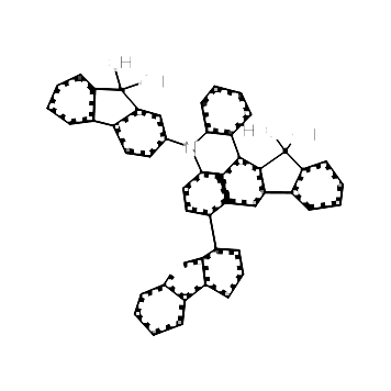 CC1(C)c2ccccc2-c2ccc(N(c3ccc(-c4cccc5c4sc4ccccc45)cc3)c3ccccc3-c3cccc4c3C(C)(C)c3ccccc3-4)cc21